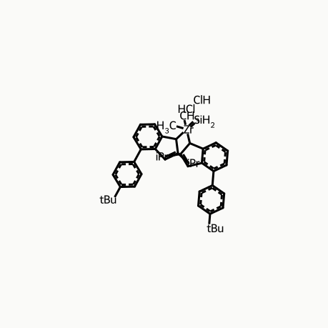 CC(C)C1=Cc2c(-c3ccc(C(C)(C)C)cc3)cccc2[CH]1[Zr]([CH3])([CH3])(=[SiH2])[CH]1C(C(C)C)=Cc2c(-c3ccc(C(C)(C)C)cc3)cccc21.Cl.Cl